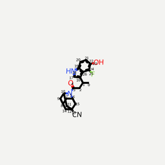 CC(CC(=O)N1C2CC3CC1CC(C#N)(C3)C2)c1c[nH]c2ccc(O)c(F)c12